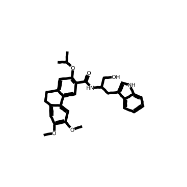 COc1cc2c(cc1OC)-c1cc(C(=O)NC(CO)Cc3c[nH]c4ccccc34)c(OC(C)C)cc1CC2